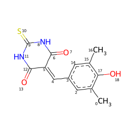 Cc1cc(C=C2C(=O)NC(=S)NC2=O)cc(C)c1O